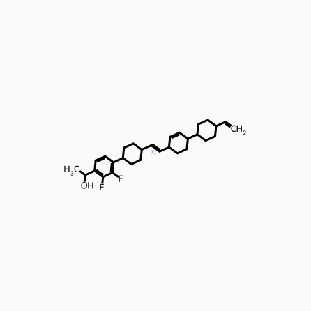 C=CC1CCC(C2C=CC(/C=C/C3CCC(c4ccc(C(C)O)c(F)c4F)CC3)CC2)CC1